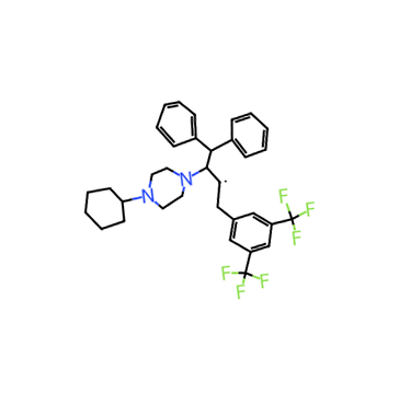 FC(F)(F)c1cc(C[CH]C(C(c2ccccc2)c2ccccc2)N2CCN(C3CCCCC3)CC2)cc(C(F)(F)F)c1